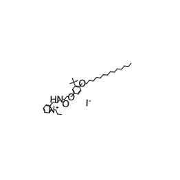 CCCCCCCCCCCCCCOc1ccc(OCC(=O)NCCc2cccc[n+]2CCC)cc1C(C)(C)C.[I-]